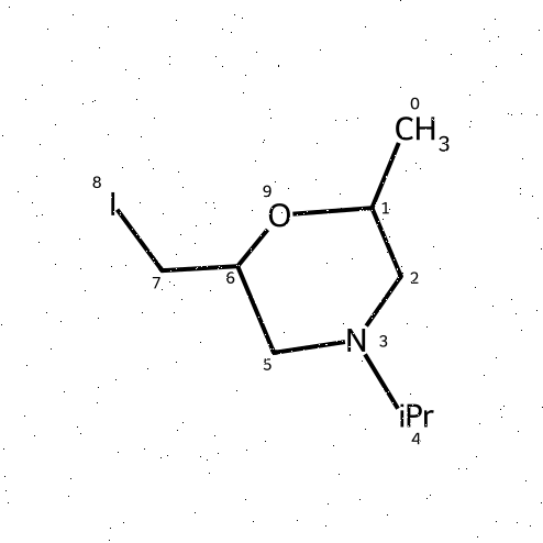 CC1CN(C(C)C)CC(CI)O1